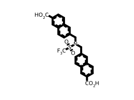 O=C(O)c1ccc2cc(CN(Cc3ccc4cc(C(=O)O)ccc4c3)S(=O)(=O)C(F)(F)F)ccc2c1